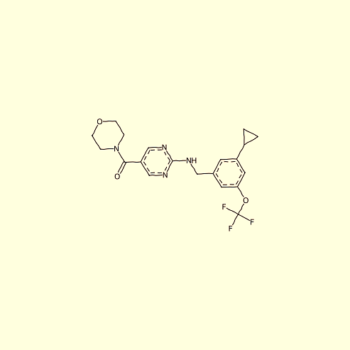 O=C(c1cnc(NCc2cc(OC(F)(F)F)cc(C3CC3)c2)nc1)N1CCOCC1